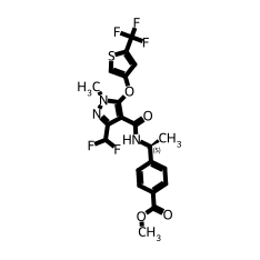 COC(=O)c1ccc([C@H](C)NC(=O)c2c(C(F)F)nn(C)c2Oc2csc(C(F)(F)F)c2)cc1